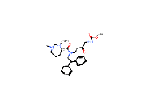 CN1CCC[C@@H](C(=O)N(CCC(=O)CNC(=O)OC(C)(C)C)CC(c2ccccc2)c2ccccc2)N(C=O)C1